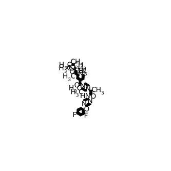 C[C@@H](C(=O)Nc1cnc(Oc2ccc(F)cc2F)cn1)N1CCN(C(=O)c2cc[n+]([O-])c(C(C)(C)O[Si](C)(C)C(C)(C)C)c2)C(C)(C)C1